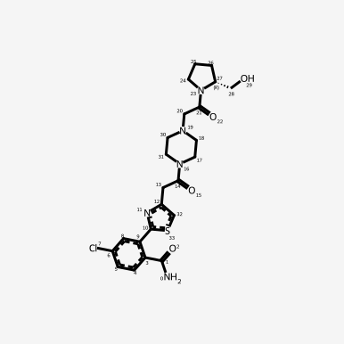 NC(=O)c1ccc(Cl)cc1-c1nc(CC(=O)N2CCN(CC(=O)N3CCC[C@@H]3CO)CC2)cs1